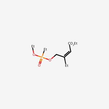 CCOC(=O)C=C(CC)COP(=O)(CC)OCC